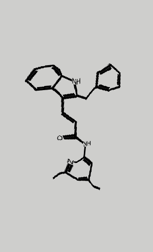 Cc1cc(C)nc(NC(=O)C=Cc2c(Cc3ccccc3)[nH]c3ccccc23)c1